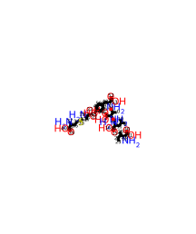 CC(C)C(N)C(=O)O.CC(C)CC(N)C(=O)O.CC(N)C(=O)O.CCC(C)C(N)C(=O)O.CSCCC(N)C(=O)O.NC(Cc1ccc(O)cc1)C(=O)O